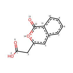 O=C(O)Cc1cc2ccccc2c(=O)o1